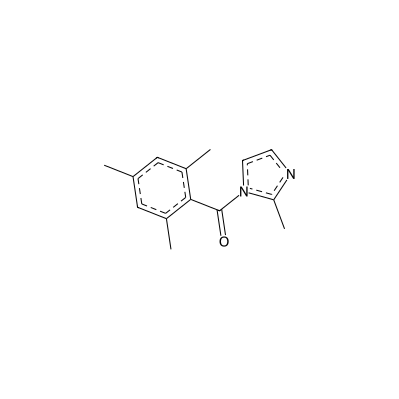 Cc1cc(C)c(C(=O)n2ccnc2C)c(C)c1